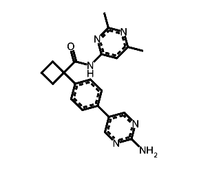 Cc1cc(NC(=O)C2(c3ccc(-c4cnc(N)nc4)cc3)CCC2)nc(C)n1